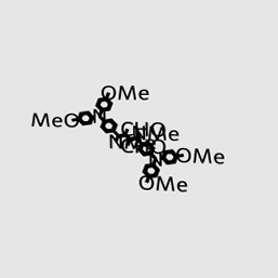 CN/C(=C(C=O)\C(C=O)=C(/NC)c1ccc(N(c2ccc(OC)cc2)c2ccc(OC)cc2)cc1)c1ccc(N(c2ccc(OC)cc2)c2ccc(OC)cc2)cc1